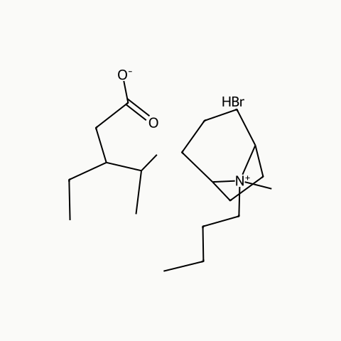 Br.CCC(CC(=O)[O-])C(C)C.CCCC[N+]1(C)C2CCCC1CC2